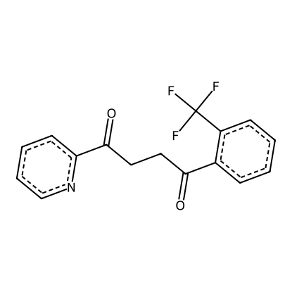 O=C(CCC(=O)c1ccccc1C(F)(F)F)c1ccccn1